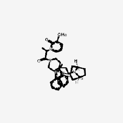 COc1cccn(C(C)C(=O)N2CCC(CCN3[C@@H]4CC[C@H]3C[C@@H](n3c(C)nc5ccccc53)C4)(c3ccccc3)CC2)c1=O